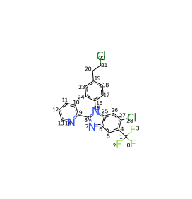 FC(F)(F)c1cc2nc(-c3ccccn3)n(-c3ccc(CCCl)cc3)c2cc1Cl